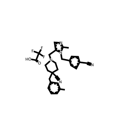 Cc1cccc(CC2(C#N)CCN(Cc3cnc(C)n3Cc3ccc(C#N)cc3)CC2)c1.O=C(O)C(F)(F)F